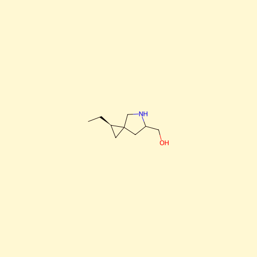 CC[C@@H]1CC12CNC(CO)C2